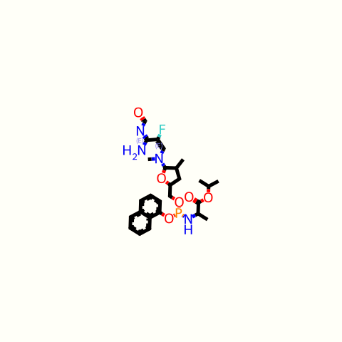 CC(C)OC(=O)C(C)NP(OCC1CC(C)C(N(C)/C=C(F)\C(N)=N/C=O)O1)Oc1cccc2ccccc12